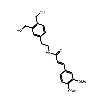 COc1ccc(/C=C/C(=O)NCCc2ccc(CO)c(CO)c2)cc1OC